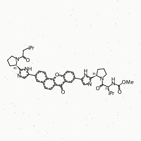 COC(=O)N[C@H](C(=O)N1CCC[C@@H]1c1ncc(-c2ccc3oc4c(ccc5cc(-c6cnc([C@H]7CCCN7C(=O)CC(C)C)[nH]6)ccc54)c(=O)c3c2)[nH]1)C(C)C